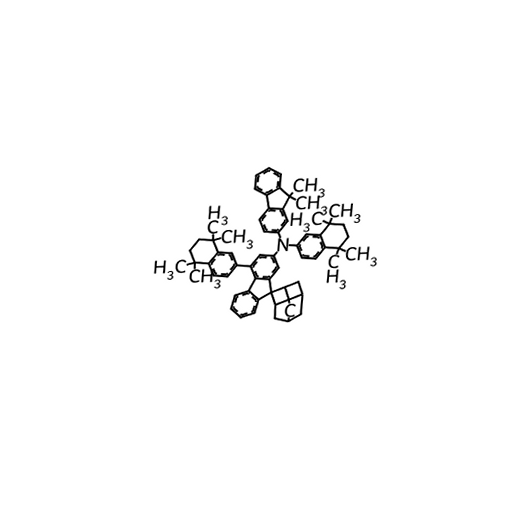 CC1(C)CCC(C)(C)c2cc(-c3cc(N(c4ccc5c(c4)C(C)(C)CCC5(C)C)c4ccc5c(c4)C(C)(C)c4ccccc4-5)cc4c3-c3ccccc3C43C4CC5CC6CC3C64C5)ccc21